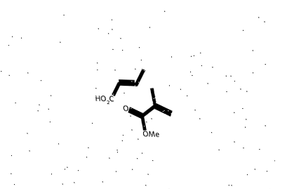 C/C=C/C(=O)O.C=C(C)C(=O)OC